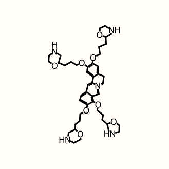 c1c2c(cc(OCCCC3CNCCO3)c1OCCCC1CNCCO1)-c1cc3ccc(OCCCC4CNCCO4)c(OCCCC4CNCCO4)c3c[n+]1CC2